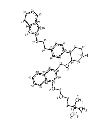 C[Si](C)(C)CCOCOc1cc(COC2CNCCC2c2ccc(CCSc3nc4ccccc4s3)cc2)cc2ccccc12